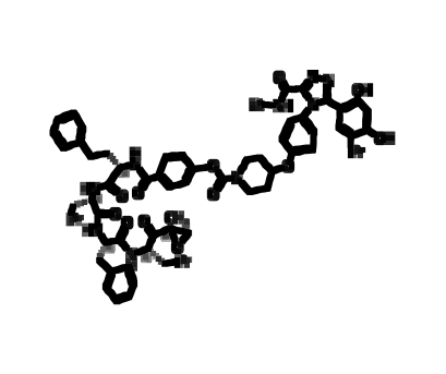 CCNC(=O)c1nnc(-c2cc(C(C)C)c(O)cc2O)n1-c1ccc(OC2CCN(C(=O)Oc3ccc(C(=O)N[C@@H](CCc4ccccc4)C(=O)N[C@@H](CC(C)C)C(=O)N[C@@H](Cc4ccccc4)C(=O)N[C@@H](CC(C)C)C(=O)[C@@]4(C)CO4)cc3)CC2)cc1